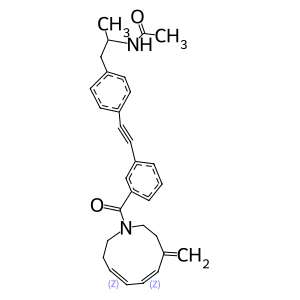 C=C1/C=C\C=C/CCN(C(=O)c2cccc(C#Cc3ccc(CC(C)NC(C)=O)cc3)c2)CC1